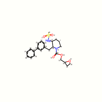 CS(=O)(=O)NC1CCCN(C(=O)OCC2CCO2)C1Cc1cccc(-c2ccccc2)c1